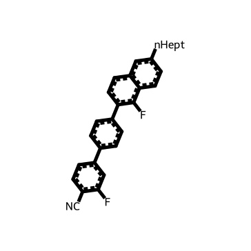 CCCCCCCc1ccc2c(F)c(-c3ccc(-c4ccc(C#N)c(F)c4)cc3)ccc2c1